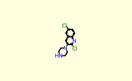 Clc1ccc2nc(Cl)c(N3CCNCC3)cc2c1